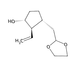 C=C[C@@H]1[C@@H](CC2OCCO2)CC[C@H]1O